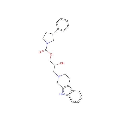 O=C(OCC(O)CN1CCc2c([nH]c3ccccc23)C1)N1CCC(c2ccccc2)C1